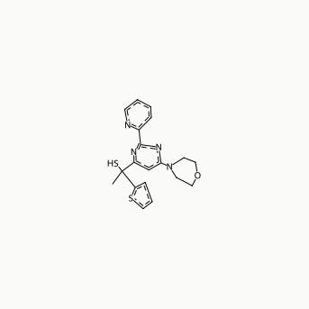 CC(S)(c1cc(N2CCOCC2)nc(-c2ccccn2)n1)c1cccs1